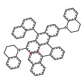 c1ccc2c(c1)CCCN2c1ccc2c(-c3cccc4ccccc34)c3cc(N4CCCc5ccccc54)ccc3c(-c3ccccc3-c3cccc4ccccc34)c2c1